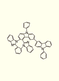 c1ccc(-n2c3ccccc3c3cc(-c4ccc5c(c4)c4c6c(ccc4n5-c4ccccc4)n4c5ccccc5nc4c4ccccc4n4c5ccccc5nc64)ccc32)cc1